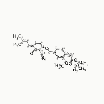 COc1cc(COc2ccn(CCC(C)C)c(=O)c2C#N)ccc1NC(=O)OC(C)(C)C